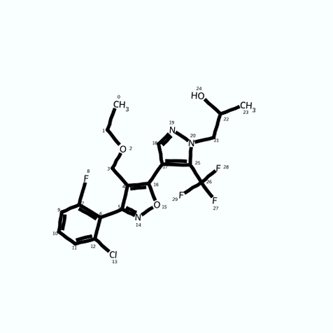 CCOCc1c(-c2c(F)cccc2Cl)noc1-c1cnn(CC(C)O)c1C(F)(F)F